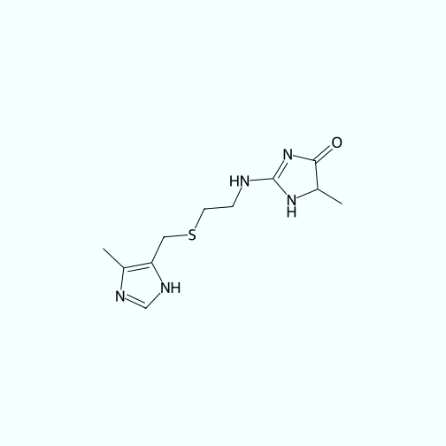 Cc1nc[nH]c1CSCCNC1=NC(=O)C(C)N1